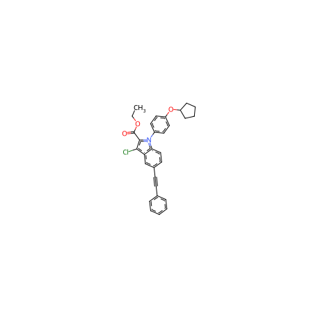 CCOC(=O)c1c(Cl)c2cc(C#Cc3ccccc3)ccc2n1-c1ccc(OC2CCCC2)cc1